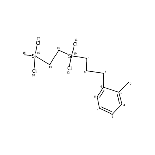 Cc1ccccc1CCC[Si](Cl)(Cl)CC[Si](C)(Cl)Cl